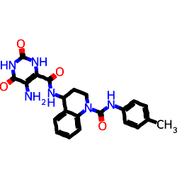 Cc1ccc(NC(=O)N2CCC(NC(=O)c3[nH]c(=O)[nH]c(=O)c3N)c3ccccc32)cc1